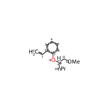 C=Cc1ccccc1O[SiH](CCC)COC